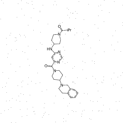 CC(C)C(=O)N1CCC(Nc2cc(C(=O)N3CCC(N4CCc5ccccc5C4)CC3)ncn2)CC1